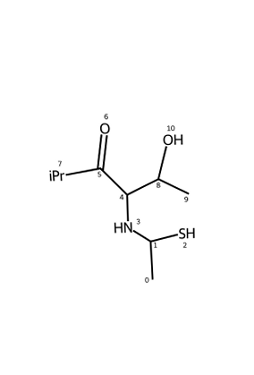 CC(S)NC(C(=O)C(C)C)C(C)O